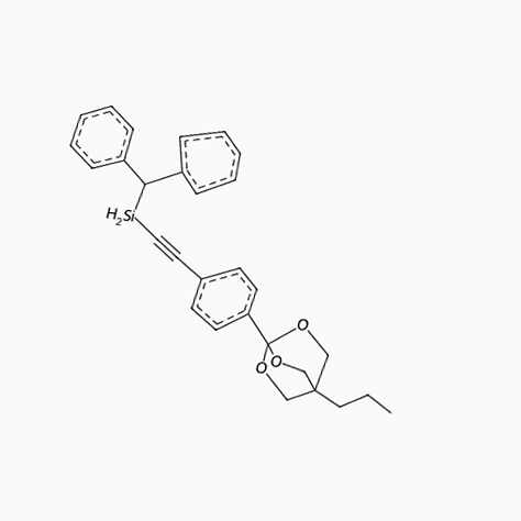 CCCC12COC(c3ccc(C#C[SiH2]C(c4ccccc4)c4ccccc4)cc3)(OC1)OC2